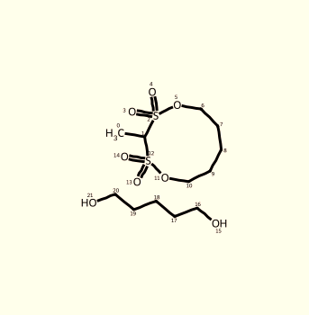 CC1S(=O)(=O)OCCCCCOS1(=O)=O.OCCCCCO